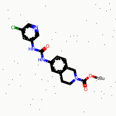 CC(C)(C)OC(=O)N1CCc2cc(NC(=O)Nc3cncc(Cl)c3)ccc2C1